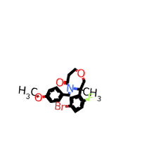 COc1ccc(CN2C(=O)CCOC[C@@]2(C)c2cc(Br)ccc2F)cc1